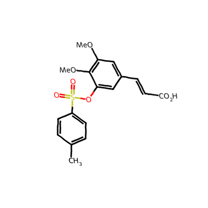 COc1cc(C=CC(=O)O)cc(OS(=O)(=O)c2ccc(C)cc2)c1OC